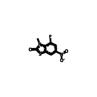 Cn1c(=O)sc2cc([N+](=O)[O-])cc(F)c21